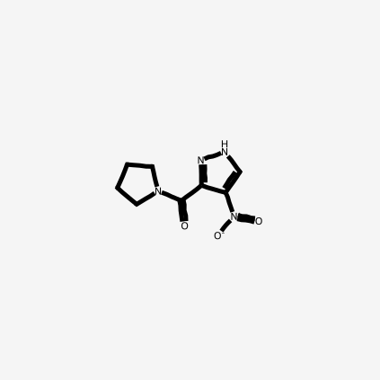 O=C(c1n[nH]cc1[N+](=O)[O-])N1CCCC1